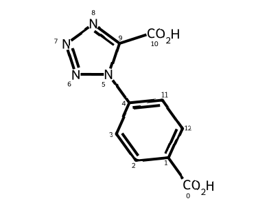 O=C(O)c1ccc(-n2nnnc2C(=O)O)cc1